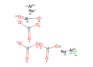 O=C([O-])[O-].O=C([O-])[O-].O=C([O-])[O-].[Al+3].[Al+3].[Cl-].[Na+].[Na+].[O]=[Al][O-]